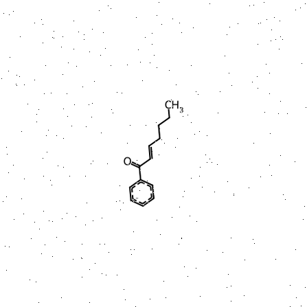 CCCCC=CC(=O)c1ccccc1